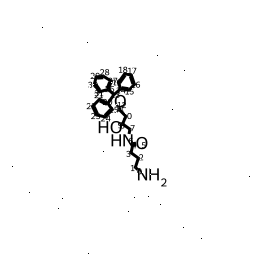 NCCCC(=O)NCC(O)CCOC(c1ccccc1)(c1ccccc1)c1ccccc1